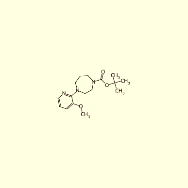 COc1cccnc1N1CCCN(C(=O)OC(C)(C)C)CC1